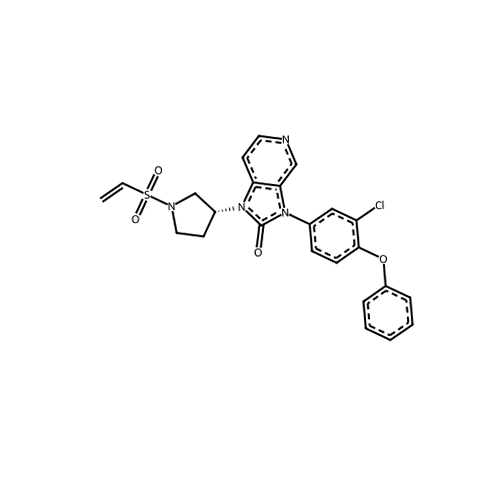 C=CS(=O)(=O)N1CC[C@@H](n2c(=O)n(-c3ccc(Oc4ccccc4)c(Cl)c3)c3cnccc32)C1